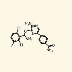 CC(Oc1nc(-c2ccc(C(N)=O)cc2)cnc1N)c1c(Cl)ccc(F)c1Cl